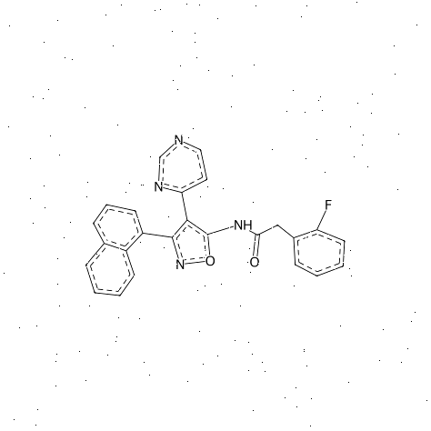 O=C(Cc1ccccc1F)Nc1onc(-c2cccc3ccccc23)c1-c1ccncn1